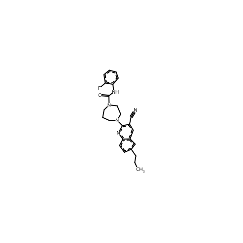 CCCc1ccc2nc(N3CCCN(C(=O)Nc4ccccc4F)CC3)c(C#N)cc2c1